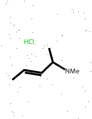 CC=CC(C)NC.Cl